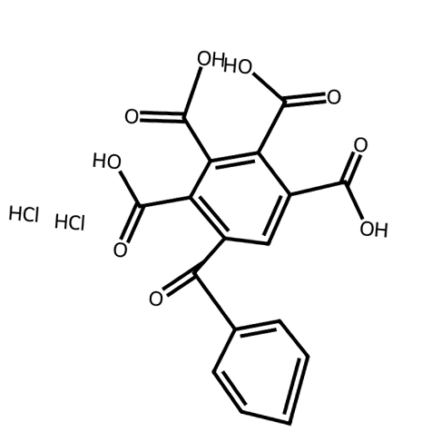 Cl.Cl.O=C(O)c1cc(C(=O)c2ccccc2)c(C(=O)O)c(C(=O)O)c1C(=O)O